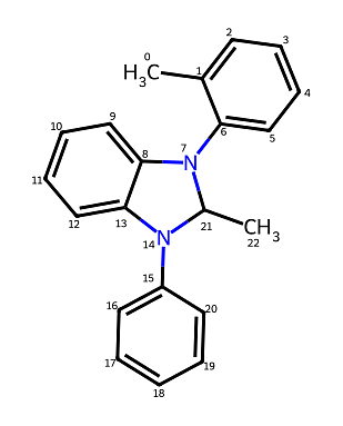 Cc1ccccc1N1c2ccccc2N(c2ccccc2)C1C